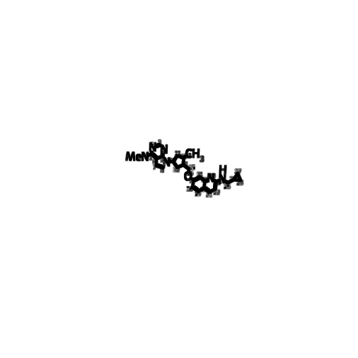 CNc1ncnc2c1ccn2C1CC(C)C(COc2ccc3ccc(NCC4CC4)nc3c2)C1